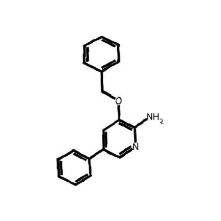 Nc1ncc(-c2ccccc2)cc1OCc1ccccc1